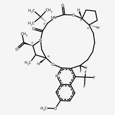 COc1ccc2c(C(F)(F)F)c3c(nc2c1)O[C@H]1CN(C(=O)[C@H](C(C)(C)C)NC(=O)O[C@@H]2CCC[C@H]2CCCCC3(F)F)[C@H](C(C)=O)C1C